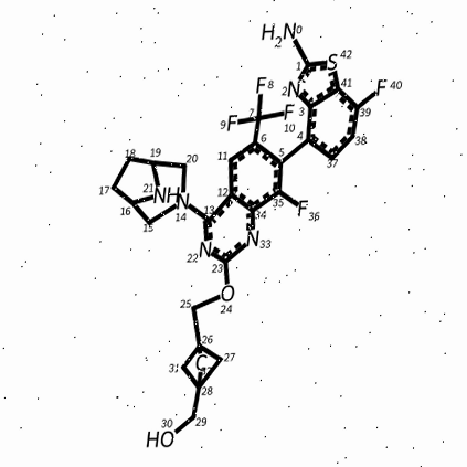 Nc1nc2c(-c3c(C(F)(F)F)cc4c(N5CC6CCC(C5)N6)nc(OCC56CC(CO)(C5)C6)nc4c3F)ccc(F)c2s1